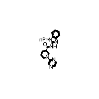 CCCn1c(NC(=O)[C@@H]2CCCN(c3cnccn3)C2)nc2ccccc21